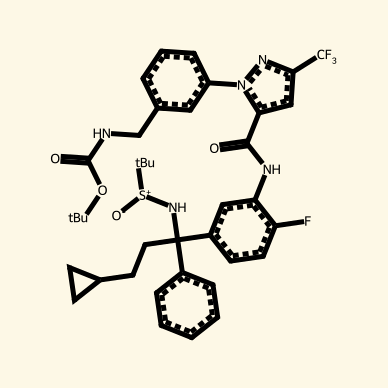 CC(C)(C)OC(=O)NCc1cccc(-n2nc(C(F)(F)F)cc2C(=O)Nc2cc(C(CCC3CC3)(N[S+]([O-])C(C)(C)C)c3ccccc3)ccc2F)c1